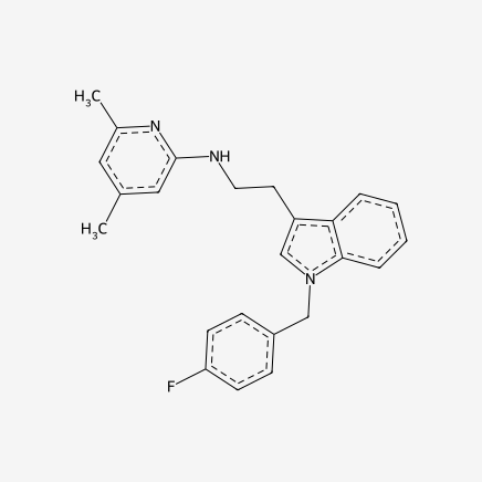 Cc1cc(C)nc(NCCc2cn(Cc3ccc(F)cc3)c3ccccc23)c1